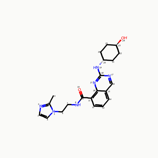 Cc1nccn1CCNC(=O)c1cccc2cnc(N[C@H]3CC[C@H](O)CC3)nc12